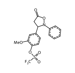 COc1cc(C2CC(=O)ON2c2ccccc2)ccc1OS(=O)(=O)C(F)(F)F